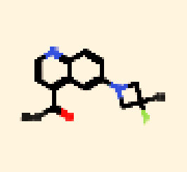 CCC1(F)CN(c2ccc3nccc(C(=O)OC)c3c2)C1